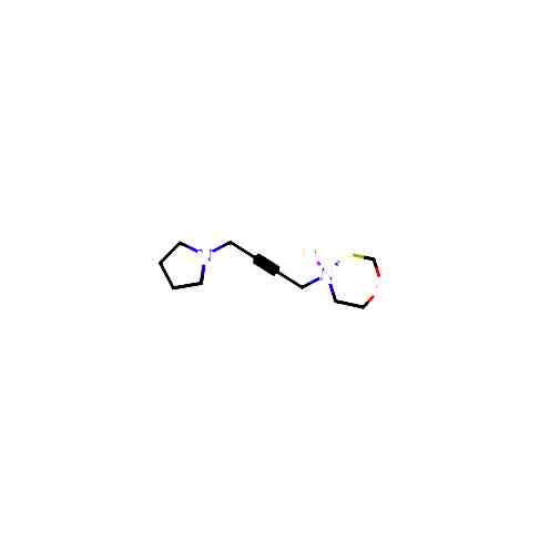 [O-][N+]1(CC#CCN2CCCC2)CCOCS1